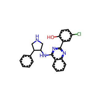 Oc1ccc(Cl)cc1-c1nc(NC2CNCC2c2ccccc2)c2ccccc2n1